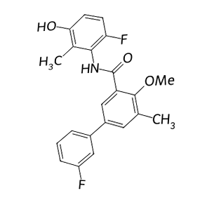 COc1c(C)cc(-c2cccc(F)c2)cc1C(=O)Nc1c(F)ccc(O)c1C